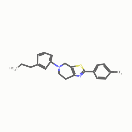 O=C(O)CCc1cccc(N2CCc3nc(-c4ccc(C(F)(F)F)cc4)sc3C2)c1